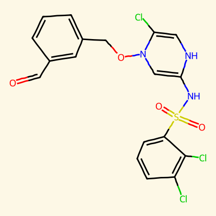 O=Cc1cccc(CON2C=C(NS(=O)(=O)c3cccc(Cl)c3Cl)NC=C2Cl)c1